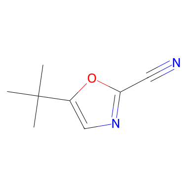 CC(C)(C)c1cnc(C#N)o1